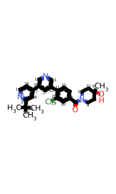 CC1(O)CCN(C(=O)c2ccc(-c3cncc(-c4ccnc(C(C)(C)C)c4)c3)c(Cl)c2)CC1